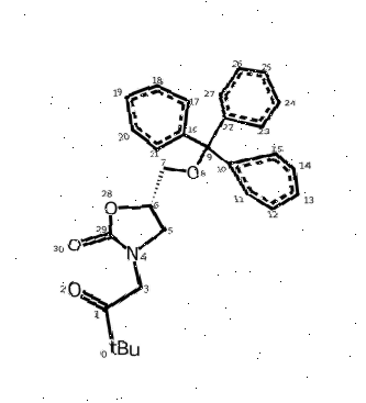 CC(C)(C)C(=O)CN1C[C@@H](COC(c2ccccc2)(c2ccccc2)c2ccccc2)OC1=O